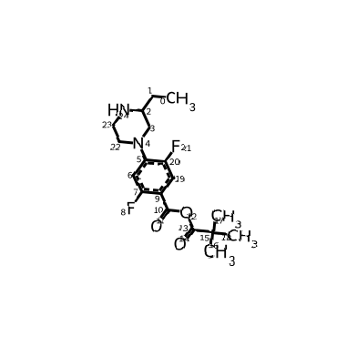 CCC1CN(c2cc(F)c(C(=O)OC(=O)C(C)(C)C)cc2F)CCN1